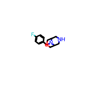 Fc1ccc(CN2C3CNCC2COC3)cc1